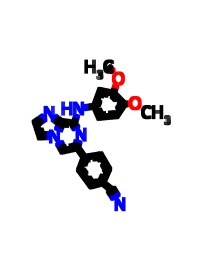 COc1ccc(Nc2nc(-c3ccc(C#N)cc3)cn3ccnc23)cc1OC